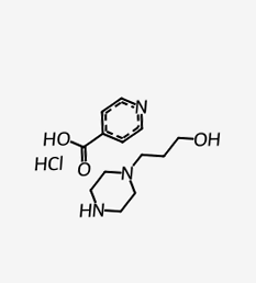 Cl.O=C(O)c1ccncc1.OCCCN1CCNCC1